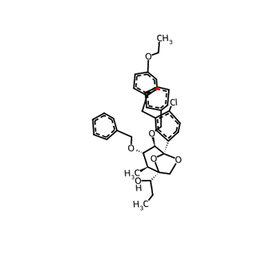 CCOc1ccc(Cc2cc([C@]34OC[C@](C(O)CC)(O3)[C@@H](C)[C@H](OCc3ccccc3)[C@H]4OCc3ccccc3)ccc2Cl)cc1